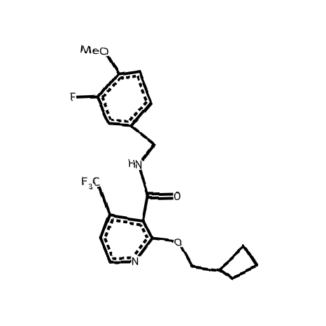 COc1ccc(CNC(=O)c2c(C(F)(F)F)ccnc2OCC2CCC2)cc1F